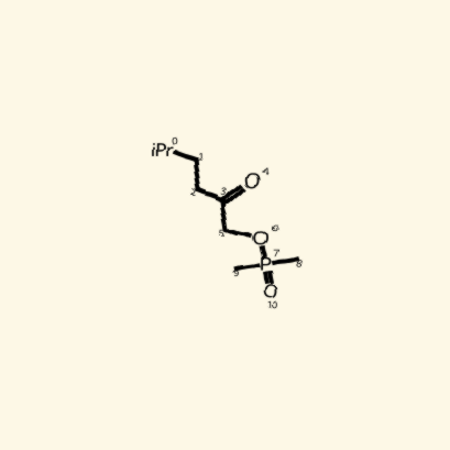 CC(C)CCC(=O)COP(C)(C)=O